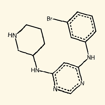 Brc1cccc(Nc2cc(NC3CCCNC3)ncn2)c1